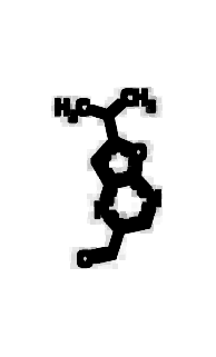 CC(C)c1cc2nc(C=O)cnc2o1